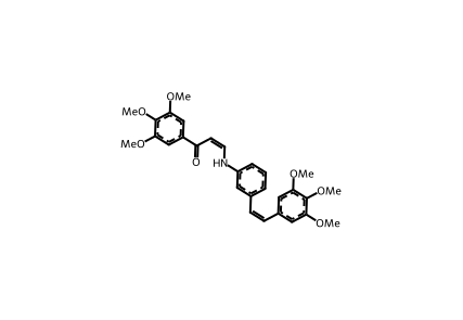 COc1cc(/C=C\c2cccc(N/C=C\C(=O)c3cc(OC)c(OC)c(OC)c3)c2)cc(OC)c1OC